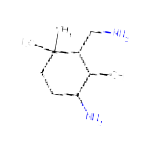 CC1C(N)CCC(C)(C)C1CN